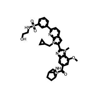 COc1cc(C(=O)N2CC3CCC2C3N)cc2nc(-c3cc4ccc(-c5cccc(S(=O)(=O)NCCO)c5)nc4n3CC3CC3)n(C)c12